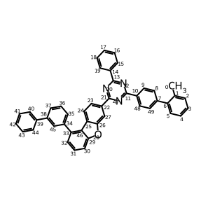 Cc1ccccc1-c1ccc(-c2nc(-c3ccccc3)nc(-c3ccc4c(c3)oc3cccc(-c5cccc(-c6ccccc6)c5)c34)n2)cc1